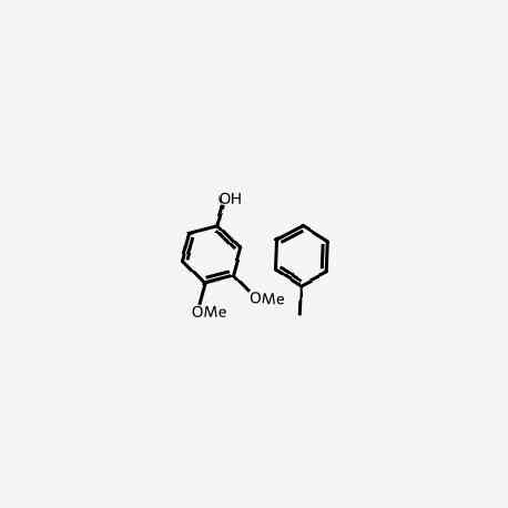 COc1ccc(O)cc1OC.Cc1ccccc1